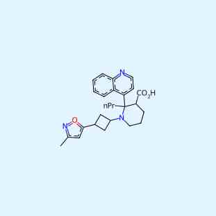 CCCC1(c2ccnc3ccccc23)C(C(=O)O)CCCN1C1CC(c2cc(C)no2)C1